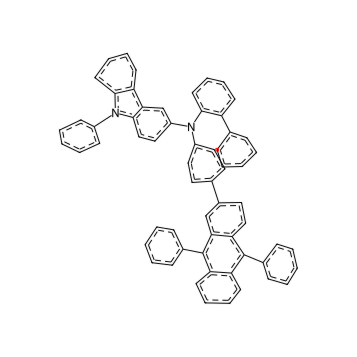 c1ccc(-c2ccccc2N(c2ccc(-c3ccc4c(-c5ccccc5)c5ccccc5c(-c5ccccc5)c4c3)cc2)c2ccc3c(c2)c2ccccc2n3-c2ccccc2)cc1